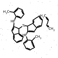 C=CC=C.Cc1ccccc1PC1=Cc2ccccc2[CH]1[Ti][CH]1C(Pc2ccccc2C)=Cc2ccccc21